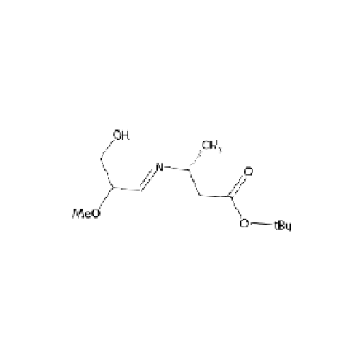 COC(C=N[C@H](C)CC(=O)OC(C)(C)C)CO